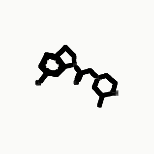 CC1CN(CC(=O)N2CCc3ccc(Cl)cc32)CCN1